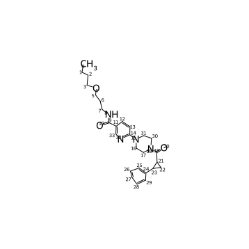 CCCCOCCCNC(=O)c1ccc(N2CCN(C(=O)C3CC3c3ccccc3)CC2)nc1